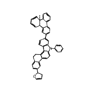 CC12C=CC=CC1c1cc(-c3ccc4c5c6c(ccc5n(-c5ccccc5)c4c3)-c3cc(C4CC=CO4)ccc3CC6)ccc1-c1ccccc12